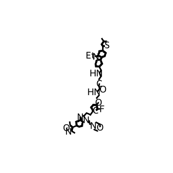 CCn1c2ccc(CNCCCCC(=O)NCCOc3ccc(CCc4nc5cc(-c6c(C)noc6C)ccc5n4CCN4CCOCC4)cc3F)cc2c2ccc(-c3cc(C)cs3)cc21